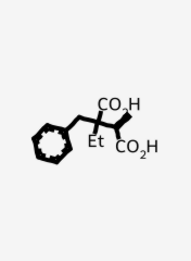 C=C(C(=O)O)C(CC)(Cc1ccccc1)C(=O)O